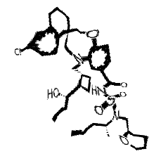 C=CC[C@@H](C)N(C[C@H]1CCCO1)S(=O)(=O)NC(=O)c1ccc2c(c1)N(C[C@@H]1CC[C@H]1[C@@H](O)C=C)C[C@@]1(CCCc3cc(Cl)ccc31)CO2